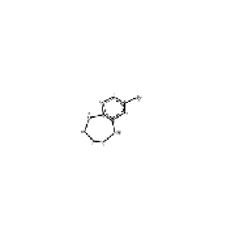 CC(C)c1ccc2c(c1)NCCCO2